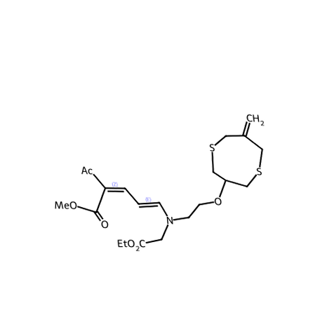 C=C1CSCC(OCCN(/C=C/C=C(/C(C)=O)C(=O)OC)CC(=O)OCC)CSC1